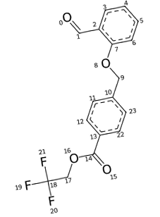 O=Cc1ccccc1OCc1ccc(C(=O)OCC(F)(F)F)cc1